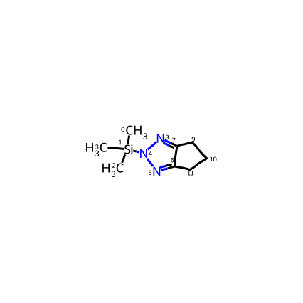 C[Si](C)(C)n1nc2c(n1)CCC2